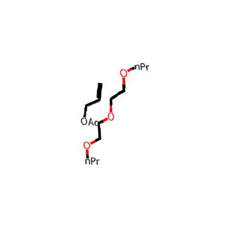 C=CCOC(C)=O.CCCOCCOCCOCCC